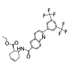 CCOC(=O)[C@@H]1CC=CC[C@@H]1NC(=O)c1ccc2nc(-c3cc(C(F)(F)F)cc(C(F)(F)F)c3)ccc2c1